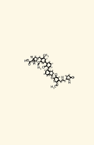 COc1nc(O[C@H]2CCc3c(-c4cccc(-c5cc(C)c(CN6C[C@@H]7C(C(=O)O)[C@@H]7C6)c(OC)n5)c4Cl)cccc32)c(Cl)cc1CNC[C@@H]1CCC(=O)N1